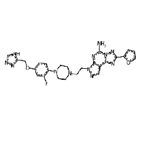 Nc1nc2c(cnn2CCN2CCN(c3ccc(OCc4nnc[nH]4)cc3F)CC2)c2nc(-c3ccco3)nn12